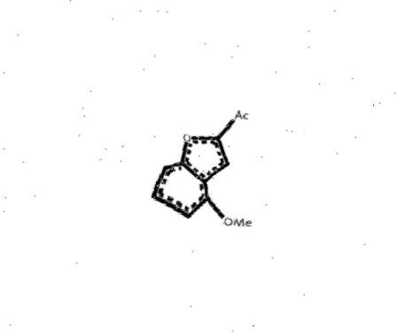 COc1cccc2oc(C(C)=O)cc12